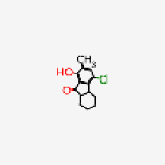 Cc1cc(Cl)c2c(c1O)C(=O)C1CCCCC21